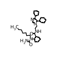 CCCCCCCN(C(N)=O)c1ccccc1C(=O)NCCn1cnc(-c2ccccc2)c1-c1ccccc1